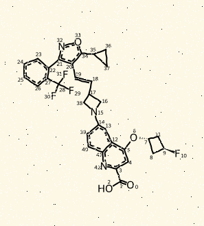 O=C(O)c1cc(O[C@H]2C[C@H](F)C2)c2cc(N3CC(/C=C/c4c(-c5ccccc5C(F)(F)F)noc4C4CC4)C3)ccc2n1